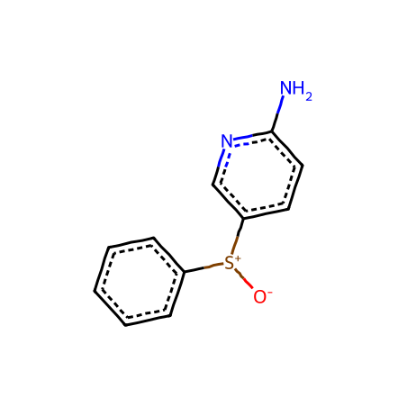 Nc1ccc([S+]([O-])c2ccccc2)cn1